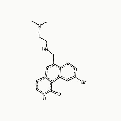 CN(C)CCNCc1cc2cc[nH]c(=O)c2c2cc(Br)ccc12